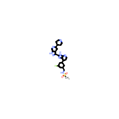 CS(=O)(=O)NCc1cc(F)cc(-c2ccnc3[nH]c(-c4n[nH]c5cnc(-c6ccncc6)cc45)nc23)c1